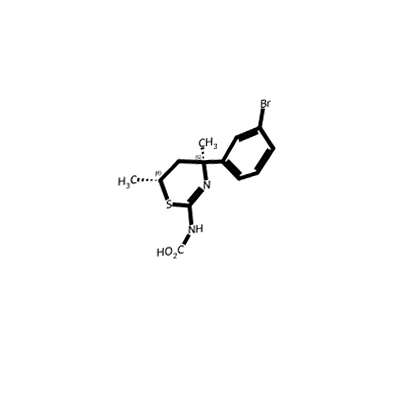 C[C@@H]1C[C@@](C)(c2cccc(Br)c2)N=C(NC(=O)O)S1